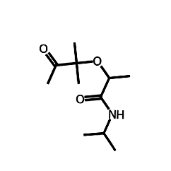 CC(=O)C(C)(C)OC(C)C(=O)NC(C)C